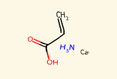 C=CC(=O)O.N.[Ca]